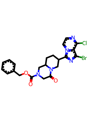 O=C(OCc1ccccc1)N1CC(=O)N2CC(c3nc(Br)c4c(Cl)nccn34)CCC2C1